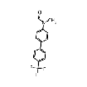 CN(C=O)c1ccc(-c2ccc(C(F)(F)F)cc2)cc1